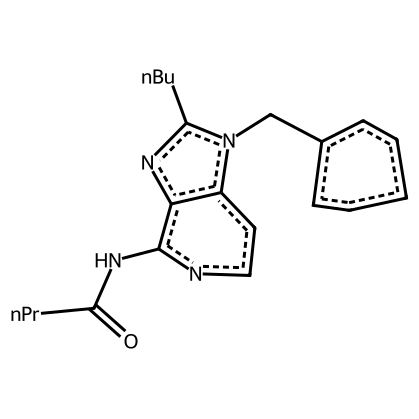 CCCCc1nc2c(NC(=O)CCC)nccc2n1Cc1ccccc1